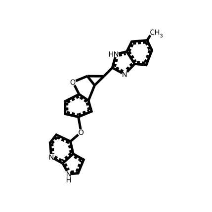 Cc1ccc2nc(C3C4Oc5ccc(Oc6ccnc7[nH]ccc67)cc5C43)[nH]c2c1